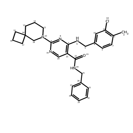 Cc1ccc(CNc2nc(N3CCCC4(CCC4)C3)ncc2C(=O)NCc2ccccc2)cc1Cl